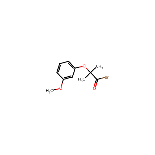 COc1cccc(OC(C)(C)C(=O)Br)c1